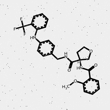 COc1ccccc1C(=O)N[C@@]1(C(=O)NCc2ccc(Nc3ccccc3C(F)(F)F)cc2)CCOC1